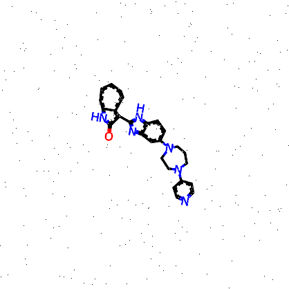 O=c1[nH]c2cccccc-2c1-c1nc2cc(N3CCCN(c4ccncc4)CC3)ccc2[nH]1